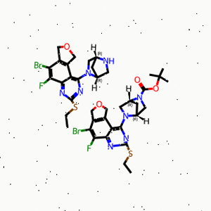 CCSc1nc(N2C[C@H]3C[C@@H]2CN3)c2c3c(c(Br)c(F)c2n1)COC3.CCSc1nc(N2C[C@H]3C[C@@H]2CN3C(=O)OC(C)(C)C)c2c3c(c(Br)c(F)c2n1)COC3